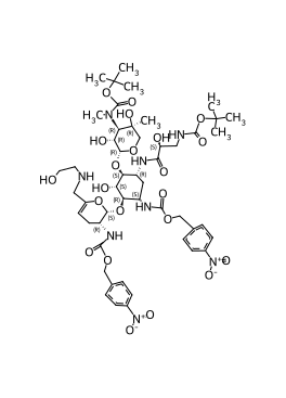 CN(C(=O)OC(C)(C)C)[C@@H]1[C@@H](O)[C@@H](O[C@@H]2[C@@H](O)[C@H](O[C@H]3OC(CNCCO)=CC[C@H]3NC(=O)OCc3ccc([N+](=O)[O-])cc3)[C@@H](NC(=O)OCc3ccc([N+](=O)[O-])cc3)C[C@H]2NC(=O)[C@@H](O)CNC(=O)OC(C)(C)C)OC[C@]1(C)O